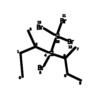 CCC(C)[Si](Br)(C(C)CC)[Si](Br)(Br)Br